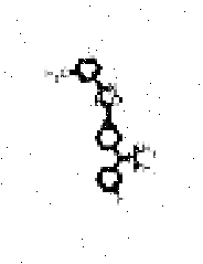 Cc1cccc(-c2noc(C3C4CCC(C(c5cccc(F)c5)N(C)C)CC43)n2)c1